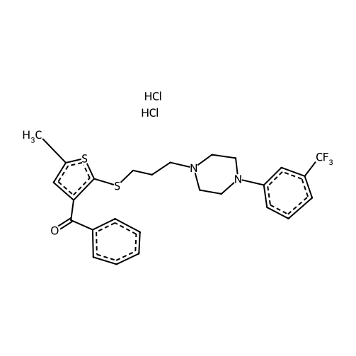 Cc1cc(C(=O)c2ccccc2)c(SCCCN2CCN(c3cccc(C(F)(F)F)c3)CC2)s1.Cl.Cl